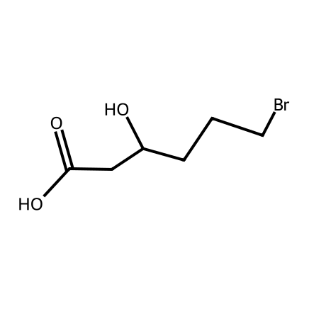 O=C(O)CC(O)CCCBr